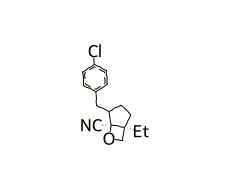 CC[C@@]12CCC(Cc3ccc(Cl)cc3)[C@]1(C#N)OC2